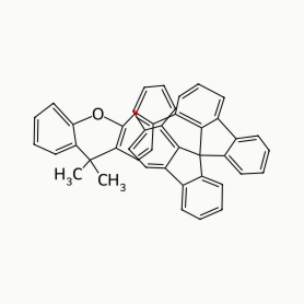 CC1(C)c2ccccc2Oc2cc(-c3cccc4c3C3(c5ccccc5-4)c4ccccc4-c4ccc5ccccc5c43)ccc21